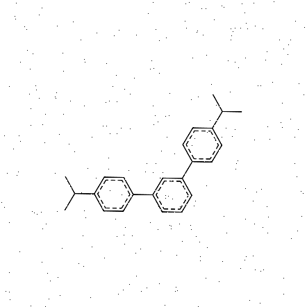 CC(C)c1ccc(-c2[c]c(-c3ccc(C(C)C)cc3)ccc2)cc1